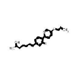 C=CCOc1ccc(-c2ccc(C=CCCCC(C)O)cc2F)nc1